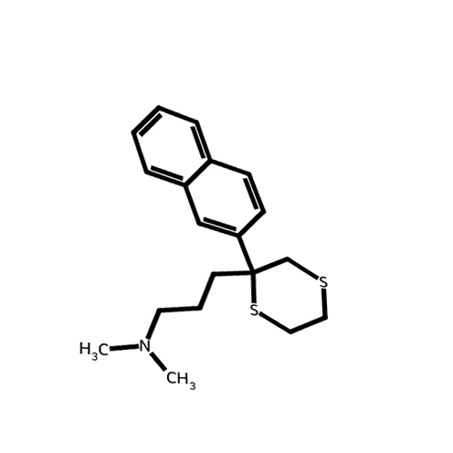 CN(C)CCCC1(c2ccc3ccccc3c2)CSCCS1